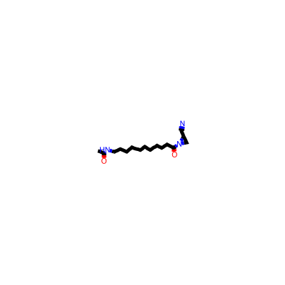 CC(=O)NCCCCCCCCCCC(=O)N1CC1C#N